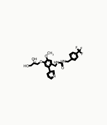 COc1cc(CNC(=O)NCc2ccc(C(F)(F)F)cc2)c(-c2cccnc2)cc1OC[C@@H](O)CO